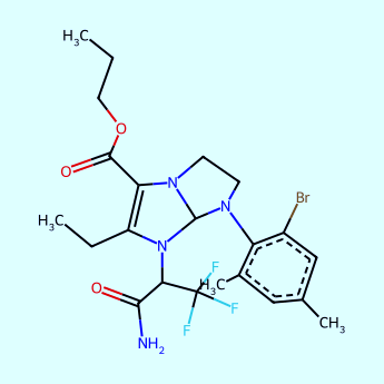 CCCOC(=O)C1=C(CC)N(C(C(N)=O)C(F)(F)F)C2N1CCN2c1c(C)cc(C)cc1Br